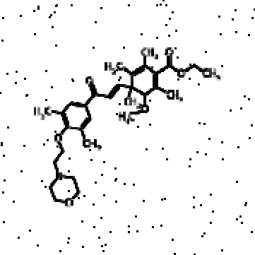 CCOC(=O)C1=C(C)C(OC)C(C)(C=CC(=O)c2cc(C)c(OCCN3CCOCC3)c(C)c2)C(C)=C1C